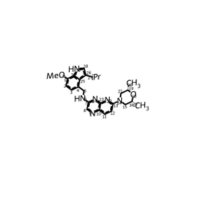 COc1ccc(CNc2cnc3ccc(N4C[C@@H](C)O[C@@H](C)C4)nc3n2)c2c(C(C)C)c[nH]c12